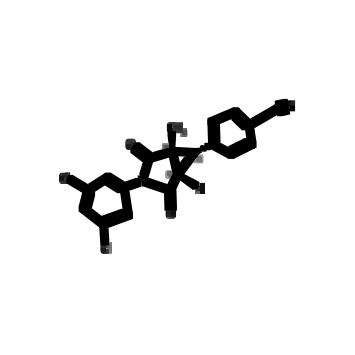 C[C@]12C(=O)N(c3cc(Cl)cc(Cl)c3)C(=O)[C@H]1[C@H]2c1ccc(C#N)cc1